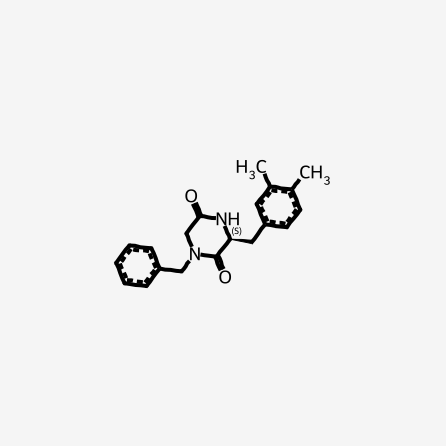 Cc1ccc(C[C@@H]2NC(=O)CN(Cc3ccccc3)C2=O)cc1C